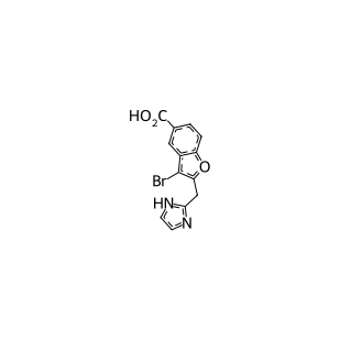 O=C(O)c1ccc2oc(Cc3ncc[nH]3)c(Br)c2c1